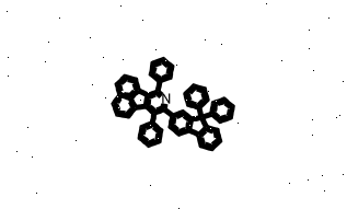 c1ccc(-c2nc(-c3ccc4c(c3)C(c3ccccc3)(c3ccccc3)c3ccccc3-4)c(-c3ccccc3)c3c2-c2cccc4cccc-3c24)cc1